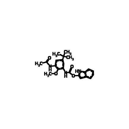 COc1c(NC(C)=O)cc(C(C)(C)C)cc1NC(=O)Oc1cc2ccccc2[nH]1